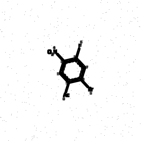 CC(=O)c1cc([N+](=O)[O-])c(F)cc1Br